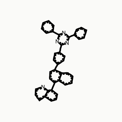 c1ccc(-c2nc(-c3ccccc3)nc(-c3ccc(-c4ccc(-c5cccc6cccnc56)c5ccccc45)cc3)n2)cc1